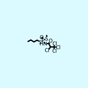 CCCCSP(=O)(NC(=O)C(Cl)C(Cl)(Cl)Cl)SC